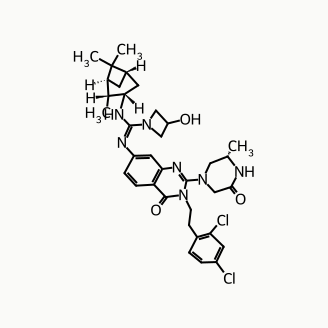 C[C@H]1[C@@H](NC(=Nc2ccc3c(=O)n(CCc4ccc(Cl)cc4Cl)c(N4CC(=O)N[C@@H](C)C4)nc3c2)N2CC(O)C2)C[C@@H]2C[C@@H]1C2(C)C